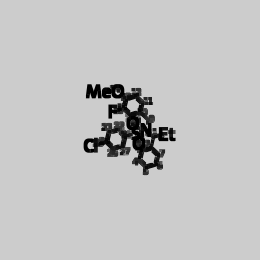 CCC(c1ccccc1)N(Cc1ccc(OC)c(F)c1)S(=O)(=O)c1ccc(Cl)cc1